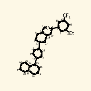 CCc1cc(-c2ccc3ccc(-c4ccc(-c5cccc6ccccc56)cc4)cc3c2)cc(C(F)(F)F)c1